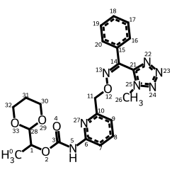 CC(OC(=O)Nc1cccc(CO/N=C(/c2ccccc2)c2nnnn2C)n1)C1OCCCO1